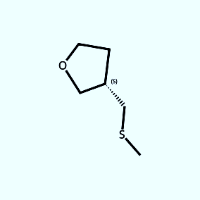 CSC[C@H]1CCOC1